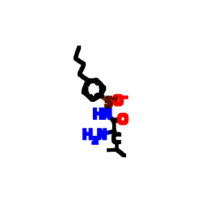 CCCCc1ccc([S+]([O-])NC(=O)C(N)CC(C)C)cc1